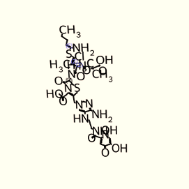 CCC/C=C(\N)S/C(Cl)=C(C)/C(=N/OC(C)(C)C(=O)O)C(=O)N[C@@H]1C(=O)N2C(C(=O)O)=C(CN3C=C(NCCNC(=O)c4cc(=O)c(O)cn4O)C(N)=NC3)CSC12